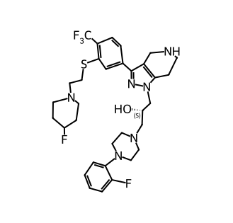 O[C@@H](CN1CCN(c2ccccc2F)CC1)Cn1nc(-c2ccc(C(F)(F)F)c(SCCN3CCC(F)CC3)c2)c2c1CCNC2